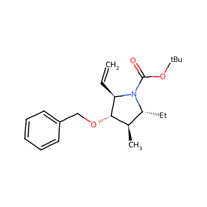 C=C[C@@H]1[C@@H](OCc2ccccc2)[C@H](C)[C@@H](CC)N1C(=O)OC(C)(C)C